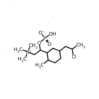 CC(Cl)CC1CCC(C)C(C(C[N+](C)(C)C)OP(=O)([O-])O)C1